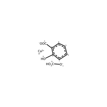 O=C([O-])O.O=C([O-])c1ccccc1O.[Ca+2]